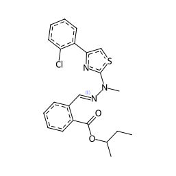 CCC(C)OC(=O)c1ccccc1/C=N/N(C)c1nc(-c2ccccc2Cl)cs1